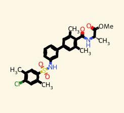 COC(=O)[C@H](C)NC(=O)c1c(C)cc(-c2cccc(NS(=O)(=O)c3cc(C)c(Cl)cc3C)c2)cc1C